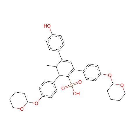 CC1C(c2ccc(O)cc2)=CC(c2ccc(OC3CCCCO3)cc2)=C(S(=O)(=O)O)C1c1ccc(OC2CCCCO2)cc1